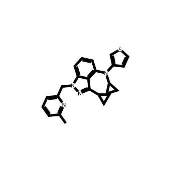 Cc1cccc(Cn2nc(C3CC3)c3c(N(c4ccsc4)C4CC4)cccc32)n1